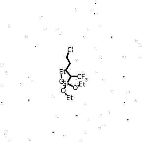 CCO[Si](OCC)(OCC)C(CCCCl)C(F)(F)F